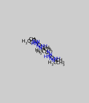 CC(C)(C)c1cccc(-c2nc3cc4[nH]c(C(C)(C)C(C)(C)c5ccc(-c6nc7cc8[nH]c(C(C)(C)C)nc8nc7[nH]6)nc5)nc4nc3[nH]2)n1